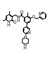 Cc1cc(C)c(CNC(=O)c2cc(-c3ccc(N4CCNCC4)nc3)cc(OCc3ccccn3)c2C)c(=O)[nH]1